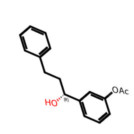 CC(=O)Oc1cccc([C@H](O)CCc2ccccc2)c1